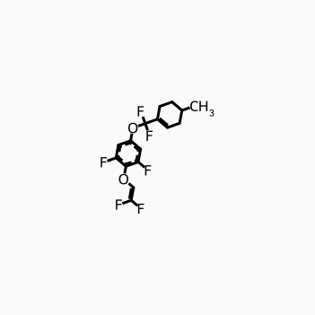 CC1CC=C(C(F)(F)Oc2cc(F)c(OC=C(F)F)c(F)c2)CC1